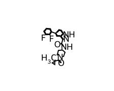 CC1(C(=O)N2CCC(NC(=O)c3n[nH]c4ccc(-c5cccc(F)c5F)cc34)CC2)CC1